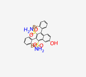 NS(=O)(=O)c1c(-c2ccccc2Br)c(S(N)(=O)=O)c2cc(O)ccc2c1-c1ccccc1Br